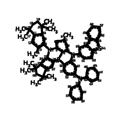 Cc1cc2c3c(c1)N(c1cc4c(cc1C)C(C)(C)CCC4(C)C)c1cc4c(cc1B3c1ccc(N(c3ccccc3)c3ccccc3)cc1N2c1ccc2sc3ccccc3c2c1)C(C)(C)CC4(C)C